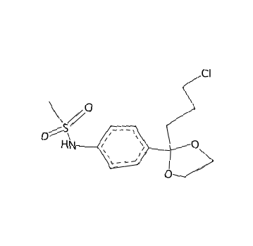 CS(=O)(=O)Nc1ccc(C2(CCCCl)OCCO2)cc1